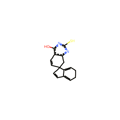 Oc1nc(S)nc2c1C=CC1(C=CC3=CCCC=C31)C2